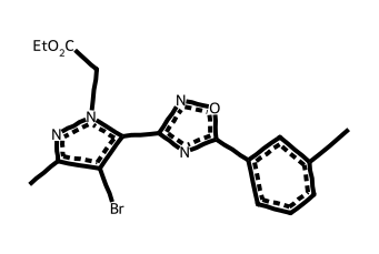 CCOC(=O)Cn1nc(C)c(Br)c1-c1noc(-c2cccc(C)c2)n1